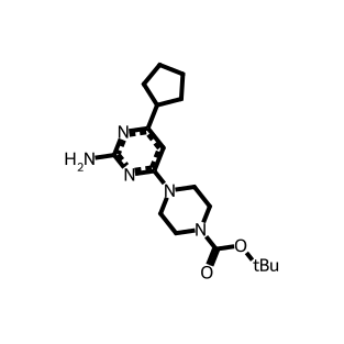 CC(C)(C)OC(=O)N1CCN(c2cc(C3CCCC3)nc(N)n2)CC1